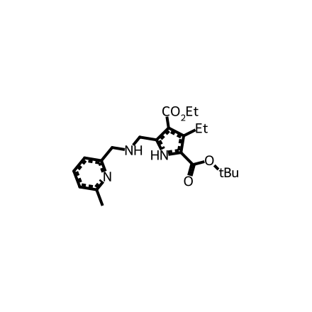 CCOC(=O)c1c(CNCc2cccc(C)n2)[nH]c(C(=O)OC(C)(C)C)c1CC